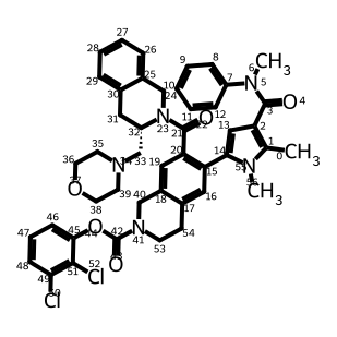 Cc1c(C(=O)N(C)c2ccccc2)cc(-c2cc3c(cc2C(=O)N2Cc4ccccc4C[C@H]2CN2CCOCC2)CN(C(=O)Oc2cccc(Cl)c2Cl)CC3)n1C